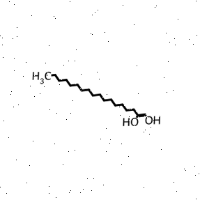 CCCCCCCCCCCCCCCCC(O)=CO